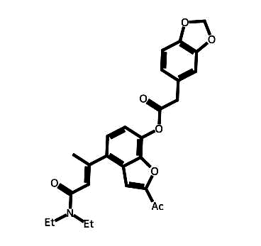 CCN(CC)C(=O)C=C(C)c1ccc(OC(=O)Cc2ccc3c(c2)OCO3)c2oc(C(C)=O)cc12